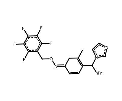 CCCC(C1=C(C)CC(=NOCc2c(F)c(F)c(F)c(F)c2F)C=C1)n1ccnc1